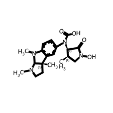 C[C@@H]1CN(O)C(=O)[C@@H]1N(C(=O)O)c1ccc2c(c1)[C@]1(C)CCN(C)C1N2C